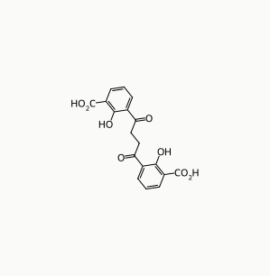 O=C(O)c1cccc(C(=O)CCC(=O)c2cccc(C(=O)O)c2O)c1O